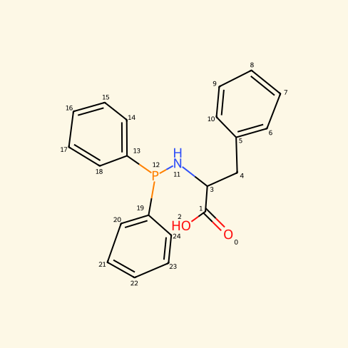 O=C(O)C(Cc1ccccc1)NP(c1ccccc1)c1ccccc1